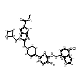 COC(=O)c1cc2c(nc(CN3CC=C(c4ncc(F)c(OCc5ccc(Cl)c6ccoc56)n4)CC3)n2C[C@@H]2CCO2)s1